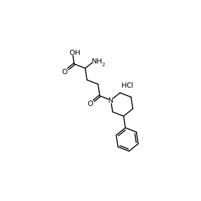 Cl.NC(CCC(=O)N1CCCC(c2ccccc2)C1)C(=O)O